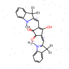 CCC1(CC)C(/C=C2\C(=O)C(=O)C(/C=C3\N(C)c4ccccc4C3(CC)CC)=C2O)=[N+](C)c2ccccc21